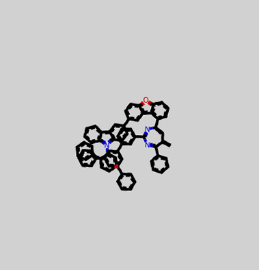 C=C1C=C(c2cccc3oc4ccc(-c5ccc6c(c5)c5ccccc5n6-c5ccccc5-c5ccccc5)cc4c23)N=C(c2cccc(-c3cc(-c4ccccc4)cc(-c4ccccc4)c3)c2)N=C1c1ccccc1